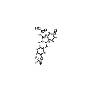 CC1C(Cc2cccc(OC(F)(F)F)c2)c2ccc(Cl)cc2N1CC(=O)O